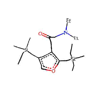 CCN(CC)C(=O)c1c([Si](C)(C)C)coc1[Si](C)(C)C